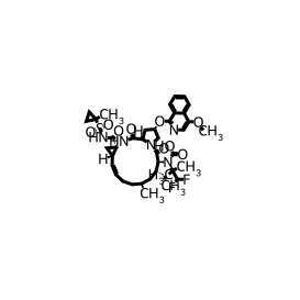 CC[C@@H]1C[C@@H](C)CCC=C[C@@H]2C[C@@]2(C(=O)NS(=O)(=O)C2(C)CC2)NC(=O)[C@@H]2C[C@@H](Oc3ncc(OC)c4ccccc34)CN2C(=O)[C@H]1N(C(=O)O)C(C)(C)C(F)F